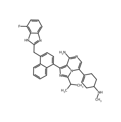 CNC1CC=C(c2cnc(N)c3c(-c4ccc(Cc5nc6cccc(F)c6[nH]5)c5ccccc45)nc(C(C)C)n23)CC1